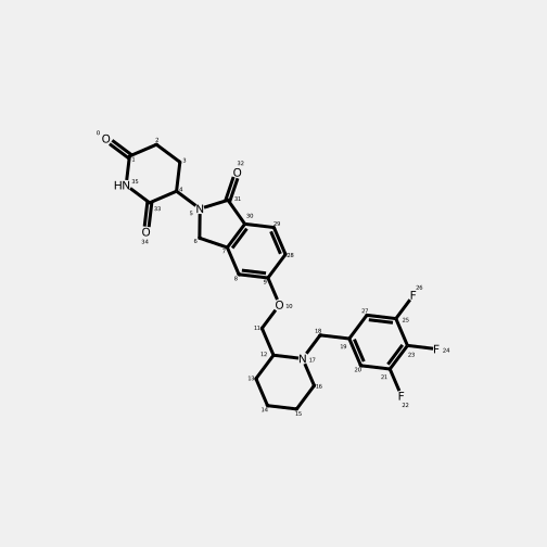 O=C1CCC(N2Cc3cc(OCC4CCCCN4Cc4cc(F)c(F)c(F)c4)ccc3C2=O)C(=O)N1